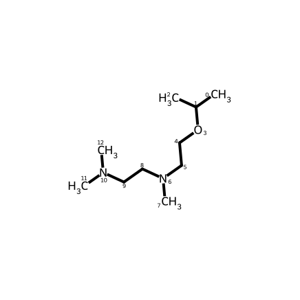 CC(C)OCCN(C)CCN(C)C